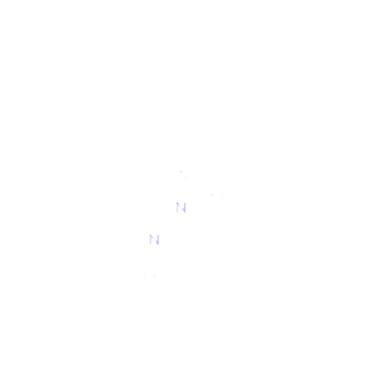 CCCCCC(=O)N1CCN(C(=O)OCCc2c(C)cc(C)cc2C)CC1